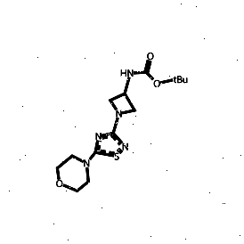 CC(C)(C)OC(=O)NC1CN(c2nsc(N3CCOCC3)n2)C1